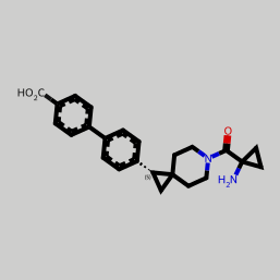 NC1(C(=O)N2CCC3(CC2)C[C@@H]3c2ccc(-c3ccc(C(=O)O)cc3)cc2)CC1